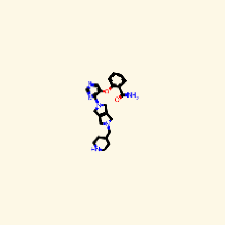 NC(=O)c1ccccc1Oc1cncnc1N1CC2=C(CN(CC3CCNCC3)C2)C1